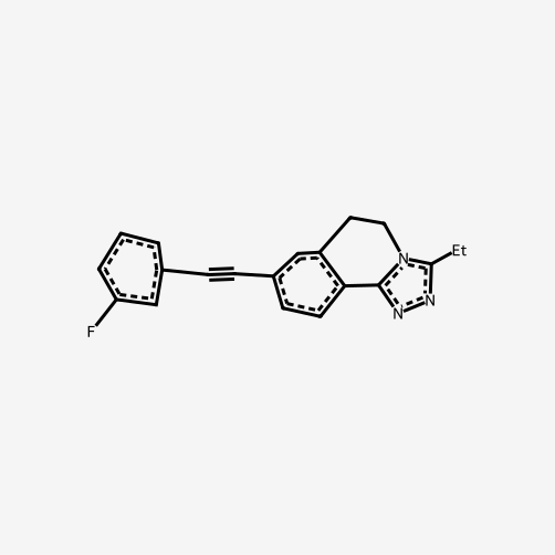 CCc1nnc2n1CCc1cc(C#Cc3cccc(F)c3)ccc1-2